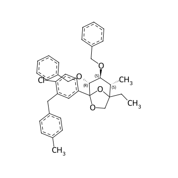 CCC12COC(c3ccc(Cl)c(Cc4ccc(C)cc4)c3)(O1)[C@H](OCc1ccccc1)[C@@H](OCc1ccccc1)[C@@H]2C